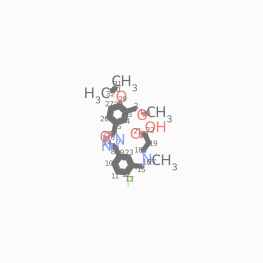 COCc1cc(-c2nc(-c3ccc(F)c(CN(C)CCC(=O)O)c3)no2)ccc1OC(C)C